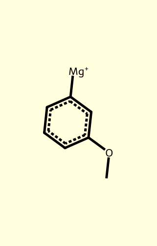 COc1ccc[c]([Mg+])c1